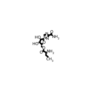 CCC[C@H](N)C(=O)OC[C@@H]1O[C@H](n2cnc(C(N)=O)n2)[C@@H](O)[C@H]1O